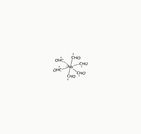 O=[CH][Nb]([CH]=O)([CH]=O)([CH]=O)([CH]=O)[CH]=O